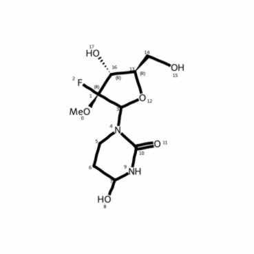 CO[C@]1(F)C(N2CCC(O)NC2=O)O[C@H](CO)[C@H]1O